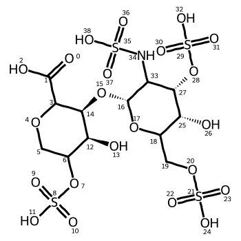 O=C(O)C1OCC(OS(=O)(=O)O)[C@H](O)[C@@H]1O[C@H]1OC(COS(=O)(=O)O)[C@@H](O)[C@@H](OS(=O)(=O)O)C1NS(=O)(=O)O